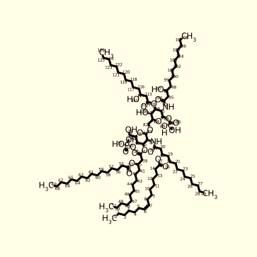 CCCCCC/C=C\CCCCCCCC(=O)OC(CCCCCCCCCCC)CC(=O)N[C@H]1C(OC(=O)CC(CCCCCCCCCCC)OC(=O)CCCCCCCCCCCCCCC)C(OP(=O)(O)O)C(CO)O[C@H]1OCC1OC(OP(=O)(O)O)[C@@H](NC(=O)CC(O)CCCCCCCCCCC)C(OC(=O)CC(O)CCCCCCCCCCC)[C@@H]1O